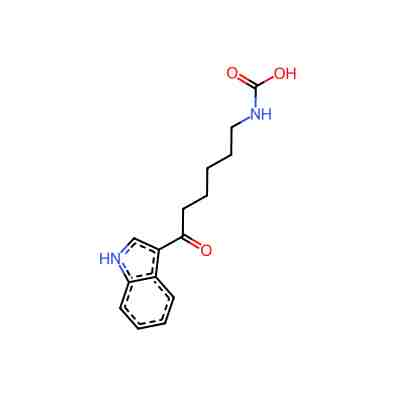 O=C(O)NCCCCCC(=O)c1c[nH]c2ccccc12